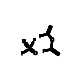 C=C(F)OC(=C)F.O=S(=O)(F)F